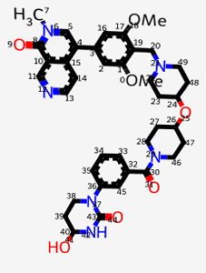 COc1cc(-c2cn(C)c(=O)c3cnccc23)cc(OC)c1CN1CCC(OC2CCN(C(=O)c3cccc(N4CCC(O)NC4=O)c3)CC2)CC1